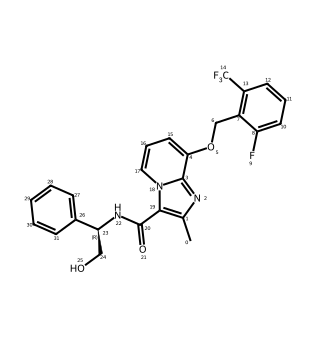 Cc1nc2c(OCc3c(F)cccc3C(F)(F)F)cccn2c1C(=O)N[C@@H](CO)c1ccccc1